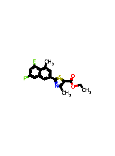 CCOC(=O)c1sc(-c2cc(C)c3c(F)cc(F)cc3c2)nc1C